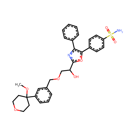 COC1(c2cccc(COCC(O)c3nc(-c4ccccc4)c(-c4ccc(S(N)(=O)=O)cc4)o3)c2)CCOCC1